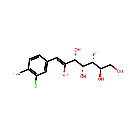 Cc1ccc(C=C(O)[C@H](O)[C@@H](O)[C@H](O)[C@H](O)CO)cc1Cl